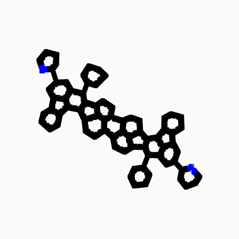 c1ccc(-c2c3cc(-c4ccccn4)cc4c5ccccc5c(c34)c3c4ccc5c6ccc7c8c(-c9ccccc9)c9cc(-c%10ccccn%10)cc%10c%11ccccc%11c(c9%10)c8c8ccc(c9ccc(c23)c4c95)c6c78)cc1